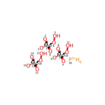 [O]=[Mo](=[O])([O-])[O]O.[O]=[Mo](=[O])([O-])[O]O.[O]=[Mo](=[O])([O-])[O]O.[PH6+3]